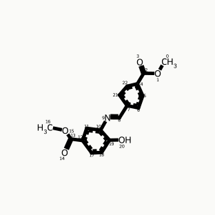 COC(=O)c1ccc(/C=N/c2cc(C(=O)OC)ccc2O)cc1